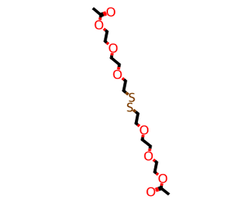 CC(=O)OCCOCCOCCSSCCOCCOCCOC(C)=O